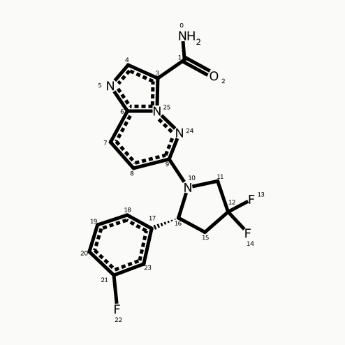 NC(=O)c1cnc2ccc(N3CC(F)(F)C[C@@H]3c3cccc(F)c3)nn12